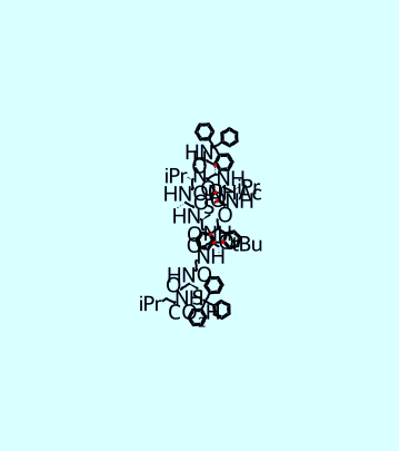 CC(=O)NCSC[C@H](NC(=O)[C@H](C)NC(=O)[C@@H](NC(=O)[C@H](CC(=O)NC(c1ccccc1)(c1ccccc1)c1ccccc1)NC(=O)[C@@H](NC(=O)OCC1c2ccccc2-c2ccccc21)C(C)C)C(C)C)C(=O)N[C@H](C(=O)NCC(=O)N[C@@H](CSC(c1ccccc1)(c1ccccc1)c1ccccc1)C(=O)N[C@@H](CC(C)C)C(=O)O)[C@@H](C)OC(C)(C)C